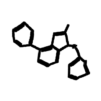 CC1=Cc2c(-c3ccccc3)cccc2[CH]1[Zr][c]1ccccn1